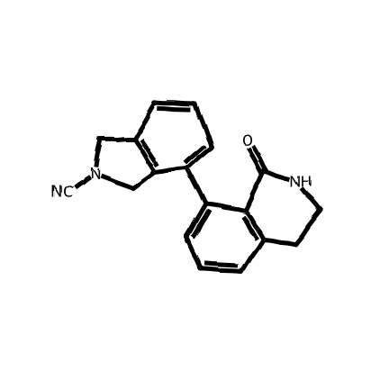 N#CN1Cc2cccc(-c3cccc4c3C(=O)NCC4)c2C1